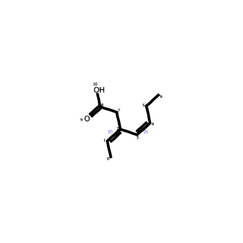 C/C=C(\C=C/CC)CC(=O)O